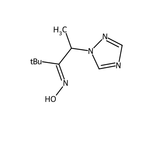 CC(C(=NO)C(C)(C)C)n1cncn1